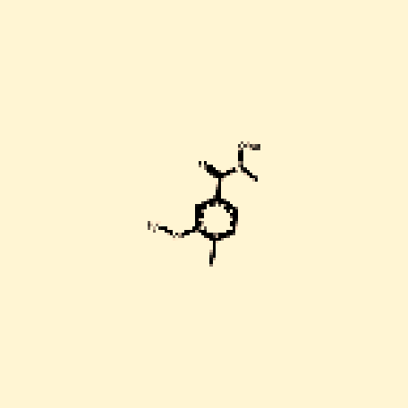 CON(C)C(=O)c1ccc(F)c(OC(F)(F)F)c1